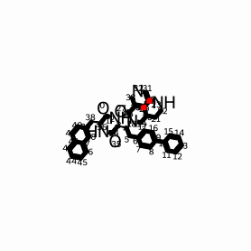 O=C1N[C@@H](C(Cc2ccc(-c3ccccc3)cc2)N(CC2CCNCC2)C(=O)c2cccnc2)C(=O)N[C@H]1Cc1ccc2ccccc2c1